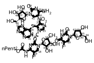 CCCCCOC(=O)Nc1nc(=O)n([C@@H]2O[C@H](C)[C@@H](O)[C@H]2O)cc1F.Cn1cnc([N+](=O)[O-])c1Sc1ncnc2nc[nH]c12.Nc1ccn([C@@H]2O[C@H](CO)[C@@H](O)[C@@H]2O)c(=O)n1.O=c1[nH]c(=O)n([C@H]2C[C@H](O)[C@@H](CO)O2)cc1F